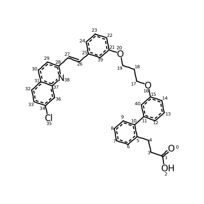 O=C(O)CCc1ccccc1-c1cccc(OCCCOc2cccc(C=Cc3ccc4ccc(Cl)cc4n3)c2)c1